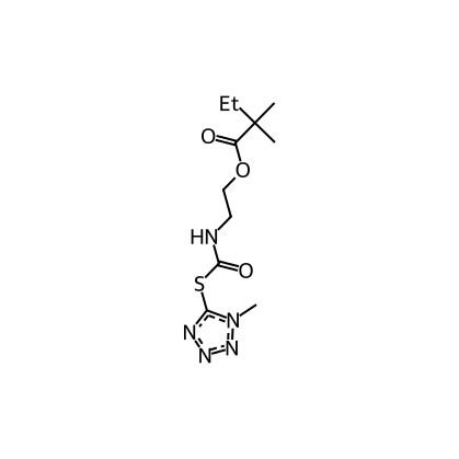 CCC(C)(C)C(=O)OCCNC(=O)Sc1nnnn1C